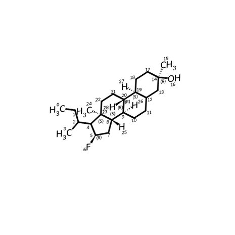 CCC(C)C1[C@H](F)C[C@H]2[C@@H]3CCC4C[C@](C)(O)CC[C@@H]4[C@H]3CC[C@]12C